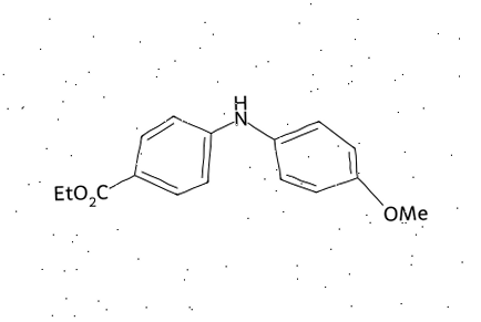 CCOC(=O)c1ccc(Nc2ccc(OC)cc2)cc1